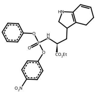 CCOC(=O)[C@H](CC1CNC2=C1CCC=C2)NP(=O)(Oc1ccccc1)Oc1ccc([N+](=O)[O-])cc1